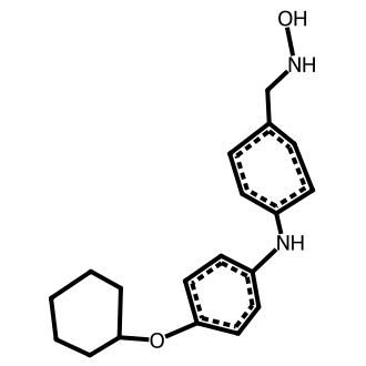 ONCc1ccc(Nc2ccc(OC3CCCCC3)cc2)cc1